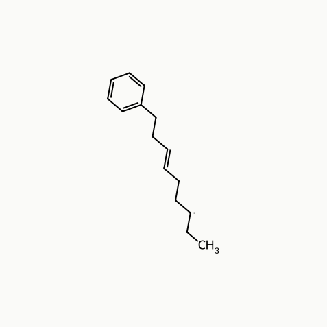 CC[CH]CCC=CCCc1ccccc1